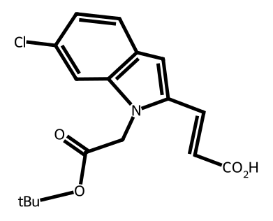 CC(C)(C)OC(=O)Cn1c(/C=C/C(=O)O)cc2ccc(Cl)cc21